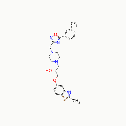 Cc1nc2cc(OC[C@H](O)CN3CCN(Cc4noc(-c5cccc(C(F)(F)F)c5)n4)CC3)ccc2s1